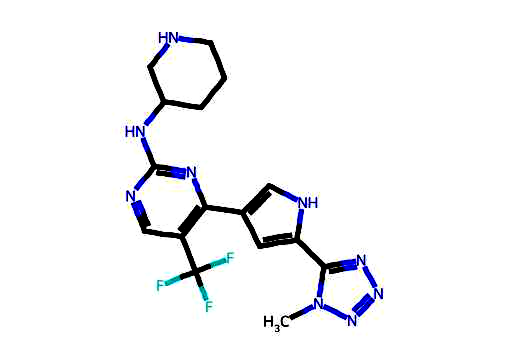 Cn1nnnc1-c1cc(-c2nc(NC3CCCNC3)ncc2C(F)(F)F)c[nH]1